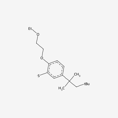 CCOCCOc1ccc(C(C)(C)CC(C)(C)C)cc1[S]